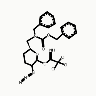 [N-]=[N+]=NC1CC[C@@H](CN(Cc2ccccc2)C(=O)OCc2ccccc2)OC1OC(=N)C(Cl)(Cl)Cl